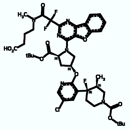 C[C@H]1CN(C(=O)OC(C)(C)C)CC[C@]1(F)c1cc(Cl)cnc1O[C@H]1C[C@@H](C(=O)OC(C)(C)C)N(c2nc(C(F)(F)C(=O)N(C)CCCC(=O)O)nc3c2oc2ccccc23)C1